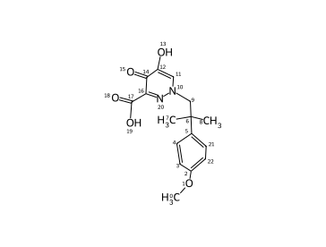 COc1ccc(C(C)(C)Cn2cc(O)c(=O)c(C(=O)O)n2)cc1